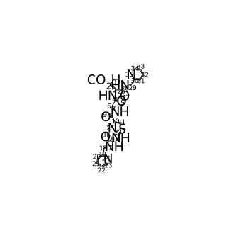 O=C(O)CC(NC(=O)CNC(=O)c1csc(NC(=O)NCc2ccccn2)n1)C(=O)NCc1ccccn1